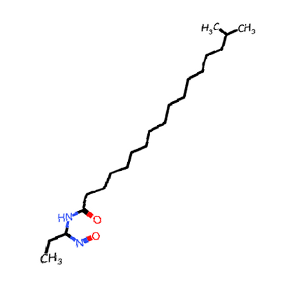 CCC(N=O)NC(=O)CCCCCCCCCCCCCCC(C)C